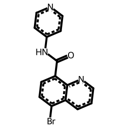 O=C(Nc1ccncc1)c1ccc(Br)c2cccnc12